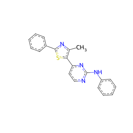 Cc1nc(-c2ccccc2)sc1-c1ccnc(Nc2ccccc2)n1